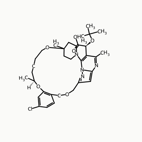 Cc1nc2cc3nn2c(c1[C@H](OC(C)(C)C)C(=O)O)N1CCC(C)(CC1)OCCCC[C@H](C)Oc1cc(Cl)ccc1COC3